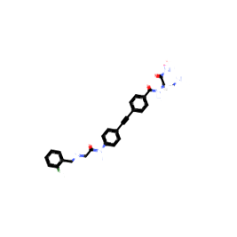 NC[C@H](NC(=O)c1ccc(C#Cc2ccc(NC(=O)CNCc3ccccc3Cl)cc2)cc1)C(=O)NO